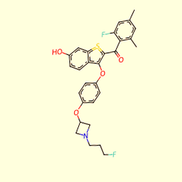 Cc1cc(C)c(C(=O)c2sc3cc(O)ccc3c2Oc2ccc(OC3CN(CCCF)C3)cc2)c(F)c1